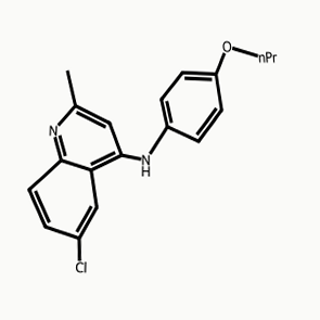 CCCOc1ccc(Nc2cc(C)nc3ccc(Cl)cc23)cc1